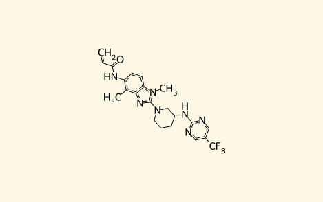 C=CC(=O)Nc1ccc2c(nc(N3CCC[C@@H](Nc4ncc(C(F)(F)F)cn4)C3)n2C)c1C